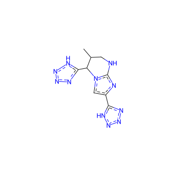 CC1CNc2nc(-c3nnn[nH]3)cn2C1c1nnn[nH]1